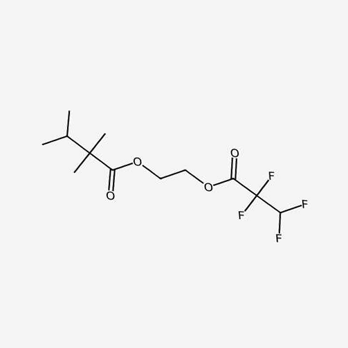 CC(C)C(C)(C)C(=O)OCCOC(=O)C(F)(F)C(F)F